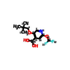 CC(C)(C#N)COc1cnc(OC(F)F)cc1B(O)O